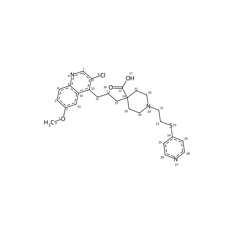 COc1ccc2ncc(Cl)c(CCCC3(C(=O)O)CCN(CCSc4ccncc4)CC3)c2c1